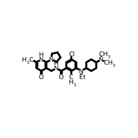 CCN(c1cc(Cl)cc(C(=O)NCc2c(N3CCCC3)[nH]c(C)cc2=O)c1C)C1CCC(N(C)C)CC1